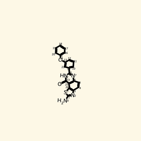 Nc1nc2ccc3nc(-c4cccc(Oc5ccccc5)c4)[nH]c(=O)c3c2s1